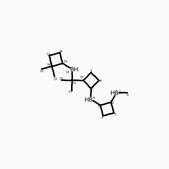 CBC1CCC1BC1CCC1C(C)(C)BC1CCC1(C)C